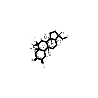 CC[C@@]1(C)CC[C@H]2[C@@H]3CC(C)(O)C4(O)CC(=O)C(=O)C[C@]4(C)[C@H]3CC[C@@]21C